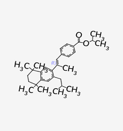 C/C(=C\c1ccc(C(=O)OC(C)C)cc1)c1cc2c(cc1CC(C)C)C(C)(C)CCC2(C)C